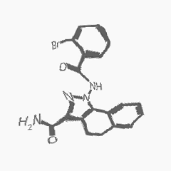 NC(=O)c1nn(NC(=O)c2ccccc2Br)c2c1CCc1ccccc1-2